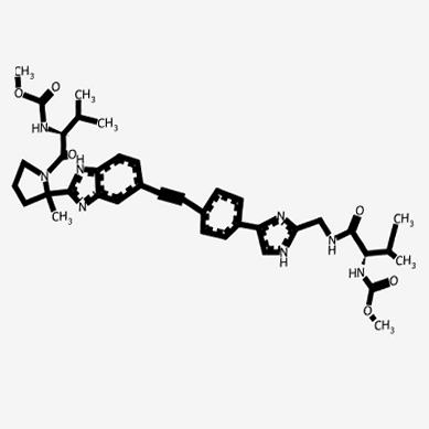 COC(=O)N[C@H](C(=O)NCc1nc(-c2ccc(C#Cc3ccc4[nH]c(C5(C)CCCN5C(=O)[C@@H](NC(=O)OC)C(C)C)nc4c3)cc2)c[nH]1)C(C)C